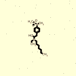 CCCCCCCN(CC)C(O)Cc1ccc(N(C)S(C)(=O)=O)cc1